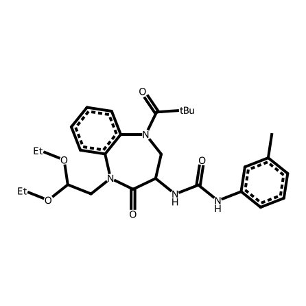 CCOC(CN1C(=O)C(NC(=O)Nc2cccc(C)c2)CN(C(=O)C(C)(C)C)c2ccccc21)OCC